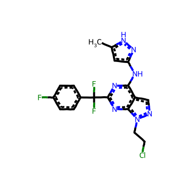 Cc1cc(Nc2nc(C(F)(F)c3ccc(F)cc3)nc3c2cnn3CCCl)n[nH]1